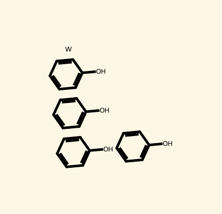 Oc1ccccc1.Oc1ccccc1.Oc1ccccc1.Oc1ccccc1.[W]